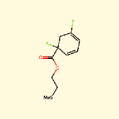 CSCCOC(=O)C1(F)[CH]C(F)=CC=C1